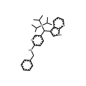 CC(C)[Si](C(C)C)(C(C)C)C(c1ccc(NCc2ccccc2)nc1)c1c[nH]c2ncccc12